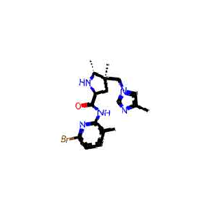 Cc1cn(C[C@@]2(C)CC(C(=O)Nc3nc(Br)ccc3C)N[C@@H]2C)cn1